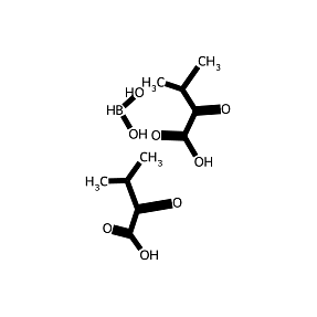 CC(C)C(=O)C(=O)O.CC(C)C(=O)C(=O)O.OBO